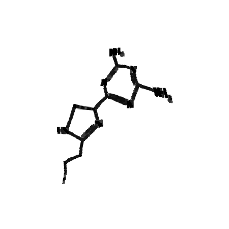 CCCC1=NC(c2nc(N)nc(N)n2)CN1